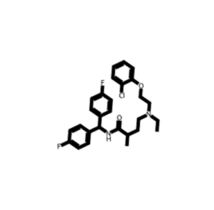 CCN(CCOc1ccccc1Cl)CCC(C)C(=O)NC(c1ccc(F)cc1)c1ccc(F)cc1